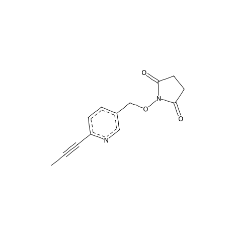 CC#Cc1ccc(CON2C(=O)CCC2=O)cn1